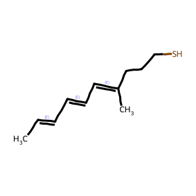 C/C=C/C=C/C=C(\C)CCCS